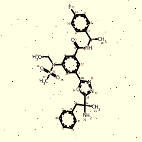 CCN(c1cc(C(=O)N[C@H](C)c2ccc(F)cc2)cc(-c2nnc([C@](C)(N)Cc3ccccc3)o2)c1)S(C)(=O)=O